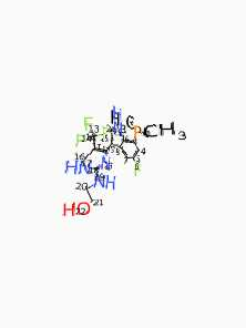 CP(C)c1cc(F)cc2c(C3=C(C(F)(F)F)CNC(NCCO)=N3)c[nH]c12